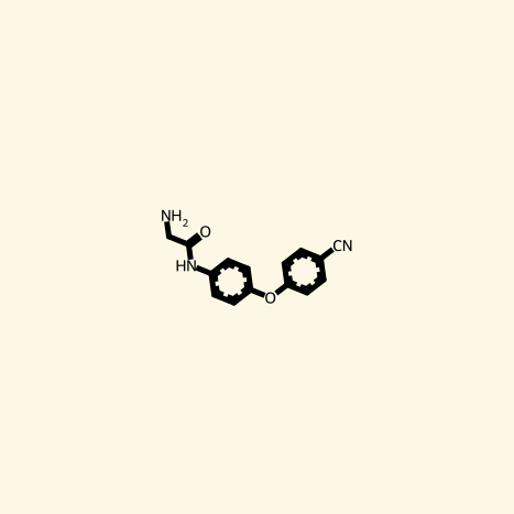 N#Cc1ccc(Oc2ccc(NC(=O)CN)cc2)cc1